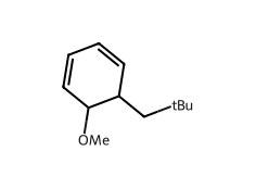 COC1C=CC=CC1CC(C)(C)C